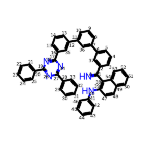 N=C(c1cccc(-c2cccc(-c3cccc(-c4nc(-c5ccccc5)nc(-c5ccccc5)n4)c3)c2)c1)c1c(Nc2ccccc2)ccc2ccccc12